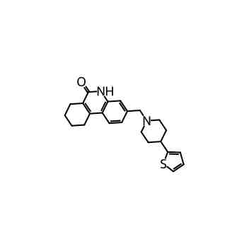 O=c1[nH]c2cc(CN3CCC(c4cccs4)CC3)ccc2c2c1CCCC2